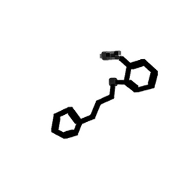 O=[C]c1ccccc1OCCCc1ccccc1